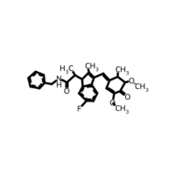 COC1=CC(=CC2=C(C)C(C(C)C(=O)NCc3ccccc3)c3cc(F)ccc32)C(C)C(OC)C1=O